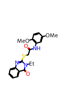 CCn1c(SCC(=O)Nc2cc(OC)ccc2OC)nc2ccccc2c1=O